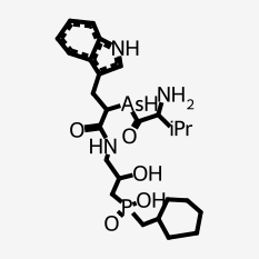 CC(C)C(N)C(=O)[AsH]C(Cc1c[nH]c2ccccc12)C(=O)NCC(O)CP(=O)(O)CC1CCCCC1